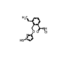 C=Cc1cccc(C(=O)NCl)c1COc1ccn(S)n1